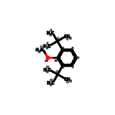 CC(C)(C)c1cccc(C(C)(C)C)c1[O][AlH2]